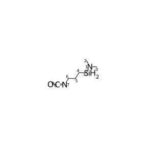 CN(C)[SiH2]CCCN=C=O